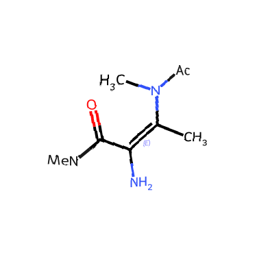 CNC(=O)/C(N)=C(/C)N(C)C(C)=O